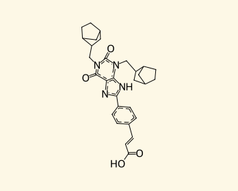 O=C(O)C=Cc1ccc(-c2nc3c(=O)n(CC4CC5CCC4C5)c(=O)n(CC4CC5CCC4C5)c3[nH]2)cc1